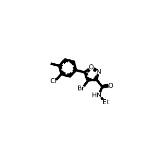 CCNC(=O)c1noc(-c2ccc(C)c(Cl)c2)c1Br